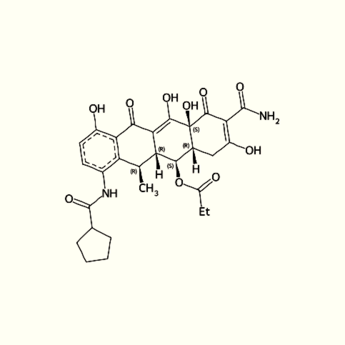 CCC(=O)O[C@H]1[C@H]2C(=C(O)[C@]3(O)C(=O)C(C(N)=O)=C(O)C[C@H]13)C(=O)c1c(O)ccc(NC(=O)C3CCCC3)c1[C@@H]2C